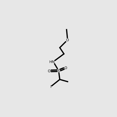 COCCNS(=O)(=O)C(C)I